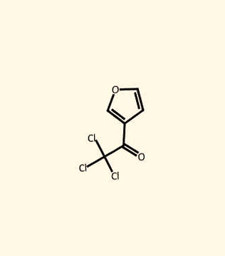 O=C(c1ccoc1)C(Cl)(Cl)Cl